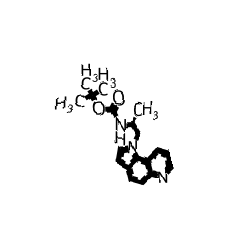 C[C@@H](Cn1ccc2ccc3ncccc3c21)NC(=O)OC(C)(C)C